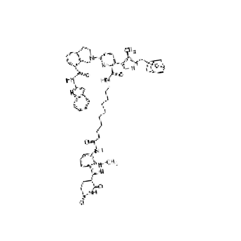 Cc1c(-c2ccc(N3CCc4cccc(C(=O)Nc5nc6ccccc6s5)c4C3)nc2C(=O)NCCCCCCCCCC(=O)Nc2cccc3c(C4CCC(=O)NC4=O)nn(C)c23)cnn1CC12CC3CC(CC1C3)C2